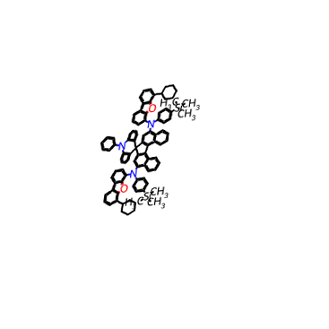 C[Si](C)(C)c1ccc(N(c2cc3c(c4ccccc24)-c2c(cc(N(c4ccc([Si](C)(C)C)cc4)c4cccc5c4oc4c(C6CCCCC6)cccc45)c4ccccc24)C32c3ccccc3N(c3ccccc3)c3ccccc32)c2cccc3c2oc2c(C4CCCCC4)cccc23)cc1